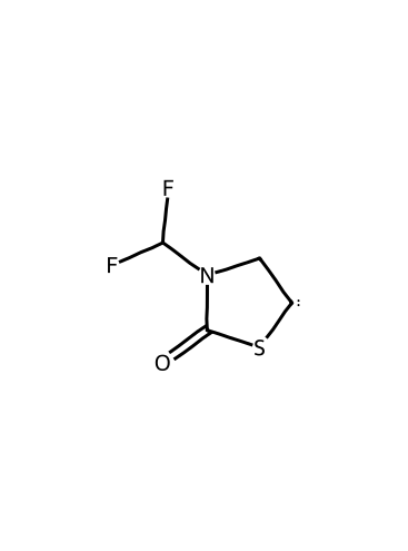 O=C1S[C]CN1C(F)F